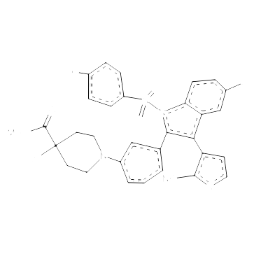 COC(=O)C1(C)CCN(c2cccc(-c3c(-c4ccsc4C#N)c4cc(F)ccc4n3S(=O)(=O)c3ccc(C)cc3)c2)CC1